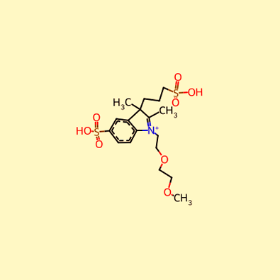 COCCOCC[N+]1=C(C)C(C)(CCCS(=O)(=O)O)c2cc(S(=O)(=O)O)ccc21